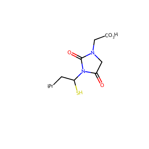 CC(C)CC(S)N1C(=O)CN(CC(=O)O)C1=O